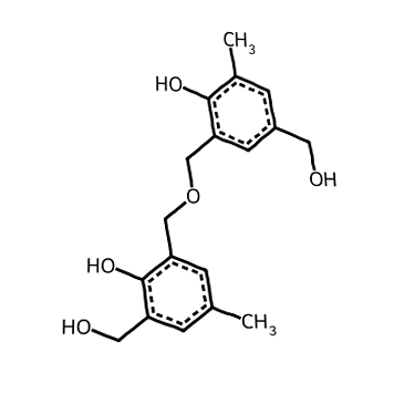 Cc1cc(CO)c(O)c(COCc2cc(CO)cc(C)c2O)c1